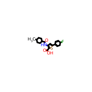 CC1CCC(C(=O)Nc2cc(C3=CCC(F)C=C3)sc2C(=O)O)CC1